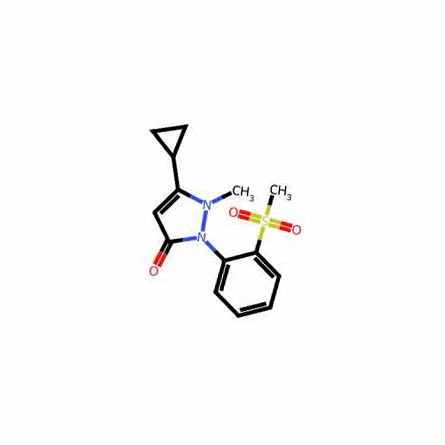 Cn1c(C2CC2)cc(=O)n1-c1ccccc1S(C)(=O)=O